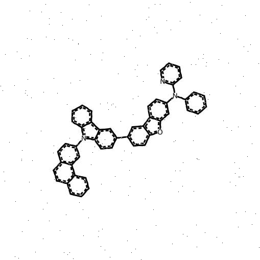 c1ccc(N(c2ccc3c(c2)oc2ccc(-c4ccc5c(c4)c4ccccc4n5-c4ccc5ccc6ccccc6c5c4)cc23)c2ccccn2)cc1